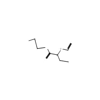 CCCOC(=O)C(CC)N[C]=O